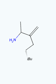 C=C(CC[C@@H](C)CC)C(C)N